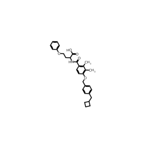 Cc1c(OCc2ccc(CC3CCC3)cc2)ccc(C(=O)NC(CCOc2ccccc2)C(=O)O)c1C